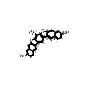 Cc1c2oc3cc4cc(O)ccc4cc3c2cc2c1oc1cc3cc(O)ccc3cc12